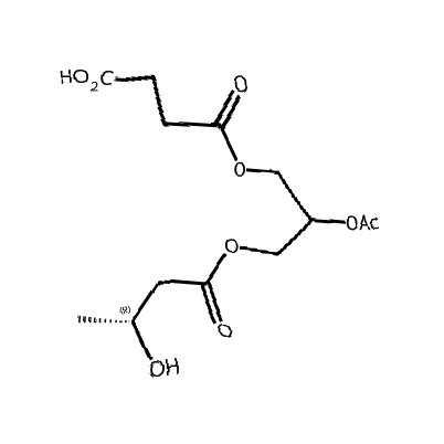 CC(=O)OC(COC(=O)CCC(=O)O)COC(=O)C[C@@H](C)O